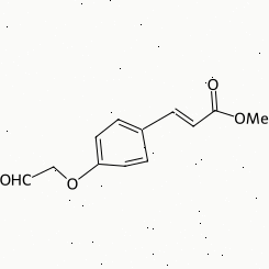 COC(=O)C=Cc1ccc(OCC=O)cc1